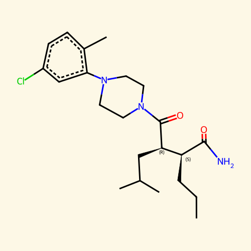 CCC[C@H](C(N)=O)[C@@H](CC(C)C)C(=O)N1CCN(c2cc(Cl)ccc2C)CC1